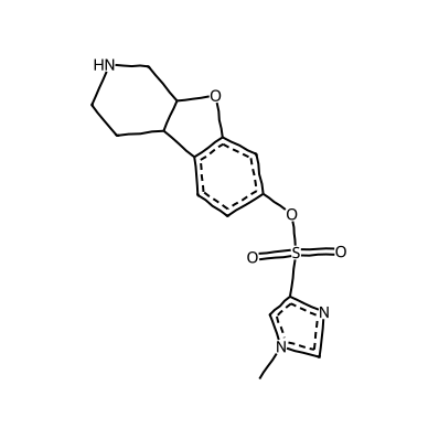 Cn1cnc(S(=O)(=O)Oc2ccc3c(c2)OC2CNCCC32)c1